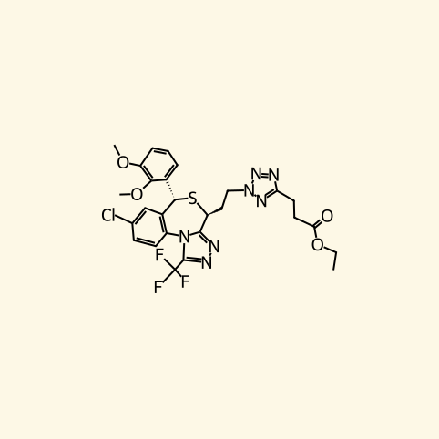 CCOC(=O)CCc1nnn(CC[C@@H]2S[C@@H](c3cccc(OC)c3OC)c3cc(Cl)ccc3-n3c2nnc3C(F)(F)F)n1